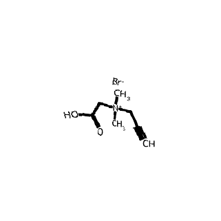 C#CC[N+](C)(C)CC(=O)O.[Br-]